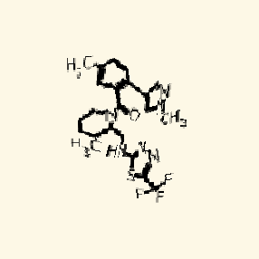 Cc1ccc(-c2cnn(C)c2)c(C(=O)N2CCC[C@@H](C)C2CNc2nnc(C(F)(F)F)s2)c1